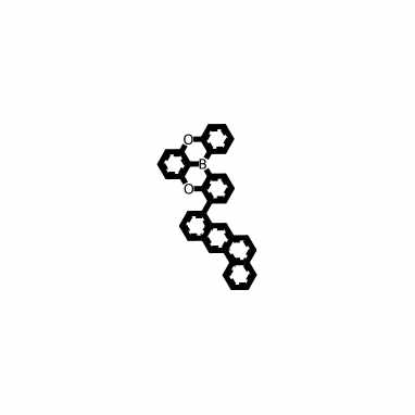 c1ccc2c(c1)Oc1cccc3c1B2c1cccc(-c2cccc4cc5c(ccc6ccccc65)cc24)c1O3